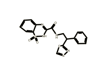 O=C(NCC(c1ccccc1)c1nnco1)C1=Nc2ccccc2S(=O)(=O)N1